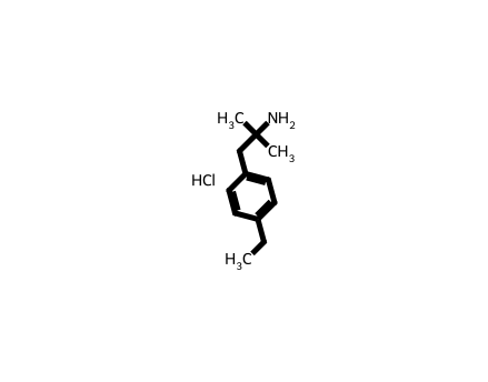 CCc1ccc(CC(C)(C)N)cc1.Cl